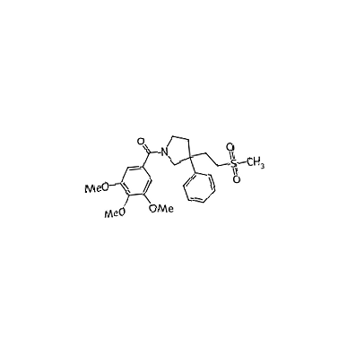 COc1cc(C(=O)N2CCC(CCS(C)(=O)=O)(c3ccccc3)C2)cc(OC)c1OC